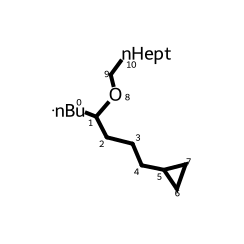 CCC[CH]C(CCCC1CC1)OCCCCCCCC